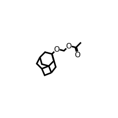 CC(=O)OCOC12CC3CC4CC(C1)C4(C3)C2